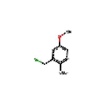 CC(C)(C)Oc1ccc(C(=O)O)c(CBr)c1